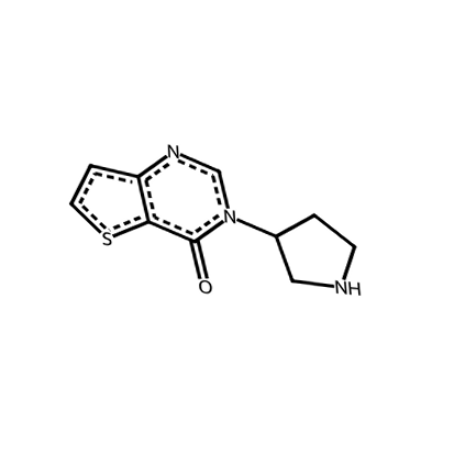 O=c1c2sccc2ncn1C1CCNC1